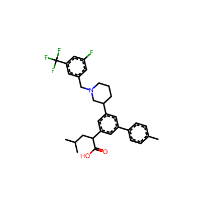 Cc1ccc(-c2cc(C3CCCN(Cc4cc(F)cc(C(F)(F)F)c4)C3)cc(C(CC(C)C)C(=O)O)c2)cc1